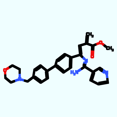 C=C(/C=C(\N=C(/N)c1cccnc1)c1ccc(-c2ccc(CN3CCOCC3)cc2)cc1)C(=O)OC